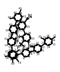 Cc1ccc(-c2ccc3c4ccc(-c5ccc(C)cc5C)cc4n(-c4ccc(-c5cccc(C#N)c5)c(-n5c6cc(-c7ccc(C)cc7C)ccc6c6ccc(-c7ccc(C)cc7C)cc65)c4C(F)(F)F)c3c2)c(C)c1